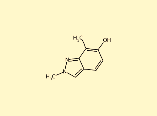 Cc1c(O)ccc2cn(C)nc12